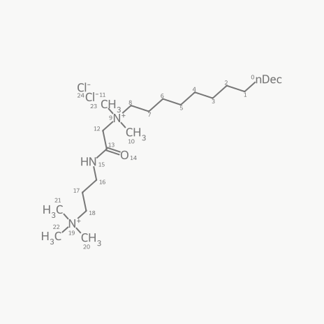 CCCCCCCCCCCCCCCCCC[N+](C)(C)CC(=O)NCCC[N+](C)(C)C.[Cl-].[Cl-]